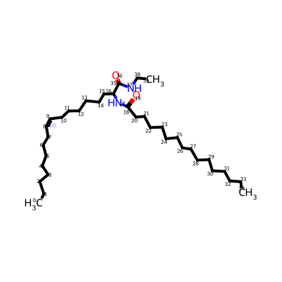 CCCCCCCC/C=C\CCCCCCC(NC(=O)CCCCCCCCCCCCCCC)C(=O)NCC